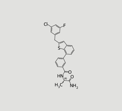 C[C@@H](NC(=O)c1cccc(-c2cccc3cc(Cc4cc(F)cc(Cl)c4)sc23)c1)C(N)=O